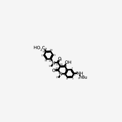 CCCCNc1ccc2c(c1)c(O)c(C(=O)N(C)c1ccc(C(=O)O)cc1)c(=O)n2C